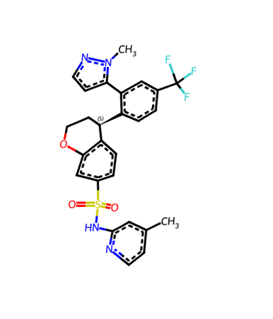 Cc1ccnc(NS(=O)(=O)c2ccc3c(c2)OCC[C@H]3c2ccc(C(F)(F)F)cc2-c2ccnn2C)c1